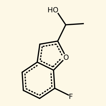 CC(O)c1cc2cccc(F)c2o1